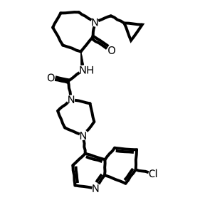 O=C(N[C@H]1CCCCN(CC2CC2)C1=O)N1CCN(c2ccnc3cc(Cl)ccc23)CC1